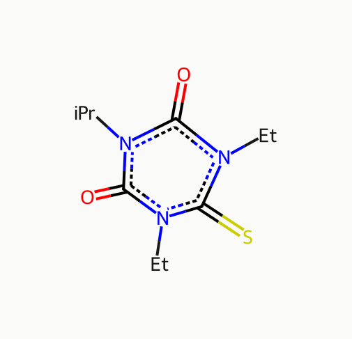 CCn1c(=S)n(CC)c(=O)n(C(C)C)c1=O